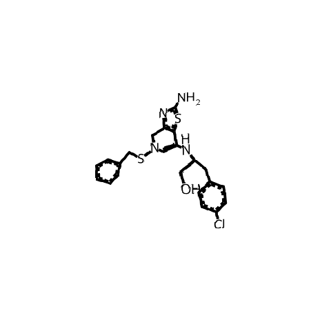 Nc1nc2c(s1)C(NC(CO)Cc1ccc(Cl)cc1)=CN(SCc1ccccc1)C2